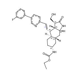 CCOC(=O)N[C@@H]1CC[C@@H]2[C@@H](C1)C[C@H]1NC(=O)[C@H](CO)[C@H]1[C@H]2/C=C/c1ccc(-c2cccc(F)c2)cn1